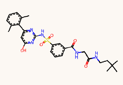 Cc1cccc(C)c1-c1cc(O)nc(NS(=O)(=O)c2cccc(C(=O)NCC(=O)NCCC(C)(C)C)c2)n1